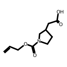 C=CCOC(=O)N1CCC(CC(=O)O)C1